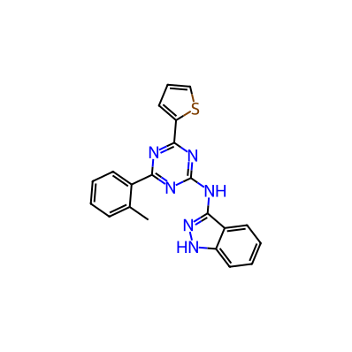 Cc1ccccc1-c1nc(Nc2n[nH]c3ccccc23)nc(-c2cccs2)n1